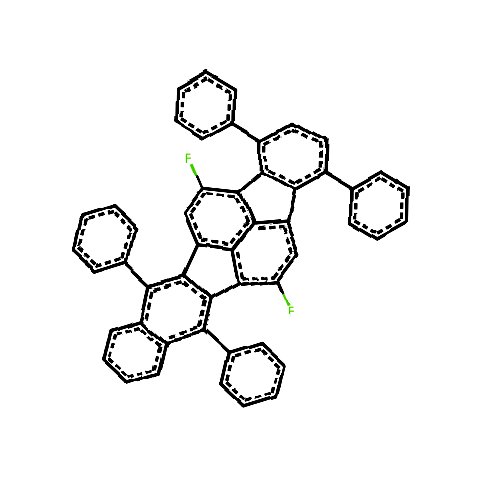 Fc1cc2c3c(c(F)cc4c3c1-c1c(-c3ccccc3)ccc(-c3ccccc3)c1-4)-c1c-2c(-c2ccccc2)c2ccccc2c1-c1ccccc1